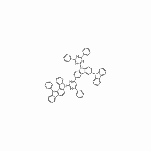 c1ccc(-c2cc(-c3ccc4c(c3)c3cc(-n5c6ccccc6c6ccccc65)ccc3n4-c3nc(-c4ccccc4)nc(-c4ccccc4)n3)nc(-n3c4ccccc4c4c3ccc3c5ccccc5n(-c5ccccc5)c34)n2)cc1